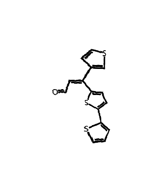 O=CC=C(c1ccsc1)c1ccc(-c2cccs2)s1